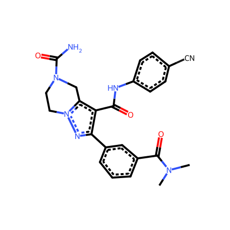 CN(C)C(=O)c1cccc(-c2nn3c(c2C(=O)Nc2ccc(C#N)cc2)CN(C(N)=O)CC3)c1